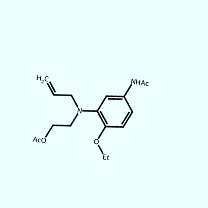 C=CCN(CCOC(C)=O)c1cc(NC(C)=O)ccc1OCC